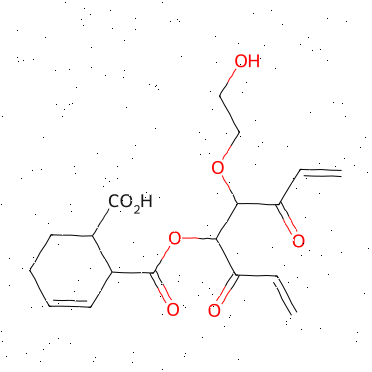 C=CC(=O)C(OCCO)C(OC(=O)C1C=CCCC1C(=O)O)C(=O)C=C